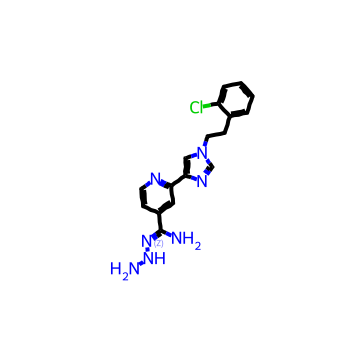 NN/N=C(\N)c1ccnc(-c2cn(CCc3ccccc3Cl)cn2)c1